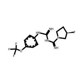 N=C(NC(=N)N1CC[C@@H](F)C1)Nc1ccc(OC(F)(F)F)cc1